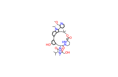 CCn1c(-c2cccnc2[C@H](C)OC)c2c3cc(ccc31)-c1cc(O)cc(c1)C[C@H](NC(=O)[C@H](C(C)C)N(C)C(=O)CO)C(=O)N1CCC[C@H](N1)C(=O)OCC(C)(C)C2